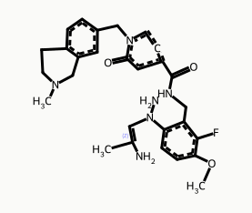 COc1ccc(N(N)/C=C(/C)N)c(CNC(=O)c2ccn(Cc3ccc4c(c3)CN(C)CC4)c(=O)c2)c1F